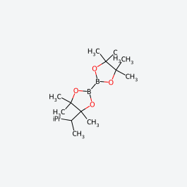 CC(C)C(C)C1(C)OB(B2OC(C)(C)C(C)(C)O2)OC1(C)C